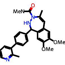 CNC(=O)N1NC(c2ccc(-c3cccnc3C)cc2)c2cc(OC)c(OC)cc2C=C1C